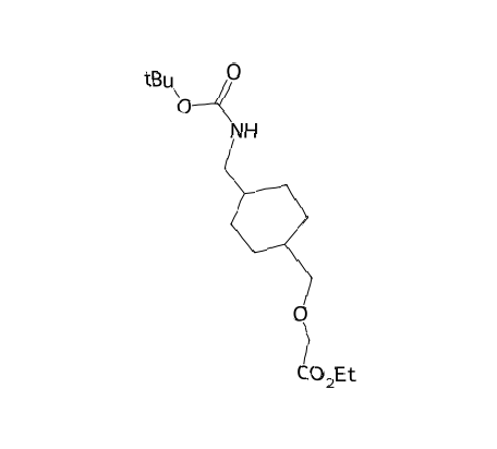 CCOC(=O)COCC1CCC(CNC(=O)OC(C)(C)C)CC1